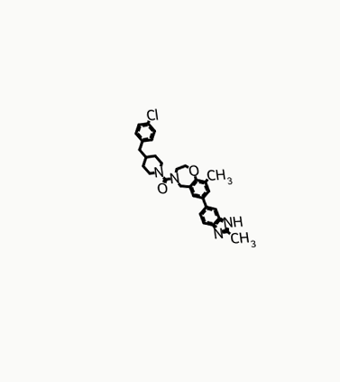 Cc1nc2ccc(-c3cc(C)c4c(c3)CN(C(=O)N3CCC(Cc5ccc(Cl)cc5)CC3)CCO4)cc2[nH]1